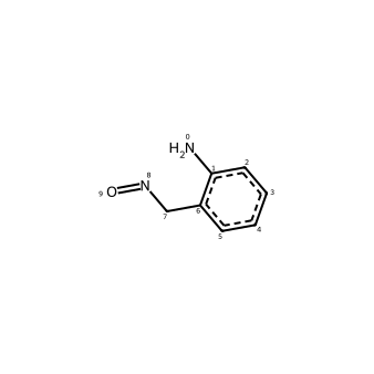 Nc1ccccc1CN=O